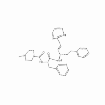 CN1CCN(C(=O)NC(Cc2ccccc2)C(=O)NC(/C=C/c2ncccn2)CCc2ccccc2)CC1